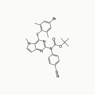 Cc1cc(Br)cc(C)c1Sc1nc(N(C(=O)OC(C)(C)C)c2ccc(C#N)cc2)nc2ccn(C)c12